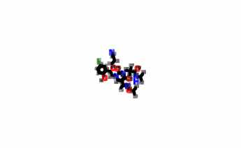 COc1ccc(F)cc1C(Cn1cc(/C(C)=N/OC(C)C)c(=O)n(CC(C)(C)C(=O)NC(C)C)c1=O)OCCC#N